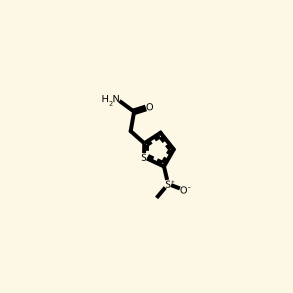 C[S+]([O-])c1ccc(CC(N)=O)s1